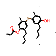 C=CC(=O)Oc1cc(C)c(Sc2cc(CCCC)c(O)cc2C)cc1CCCC